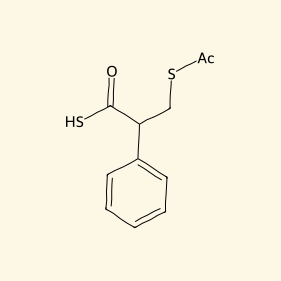 CC(=O)SCC(C(=O)S)c1ccccc1